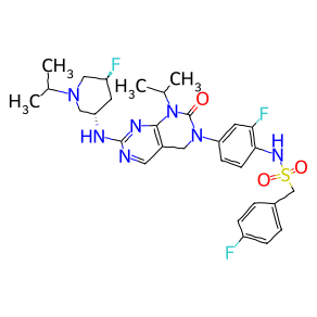 CC(C)N1C[C@@H](F)C[C@H](Nc2ncc3c(n2)N(C(C)C)C(=O)N(c2ccc(NS(=O)(=O)Cc4ccc(F)cc4)c(F)c2)C3)C1